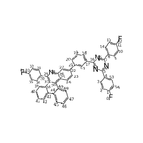 Fc1ccc(-c2nc(-c3ccc(F)cc3)nc(-c3cccc(-c4ccc5c(c4)nc(-c4ccc(F)cc4)c4c6ccccc6c6ccccc6c54)c3)n2)cc1